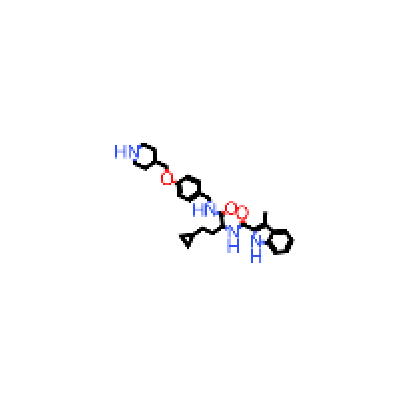 Cc1c(C(=O)NC(CCC2CC2)C(=O)NCc2ccc(OCC3CCNCC3)cc2)[nH]c2ccccc12